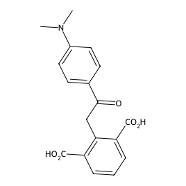 CN(C)c1ccc(C(=O)Cc2c(C(=O)O)cccc2C(=O)O)cc1